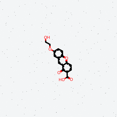 O=C(O)c1ccc2oc3ccc(OCCO)cc3cc-2c1=O